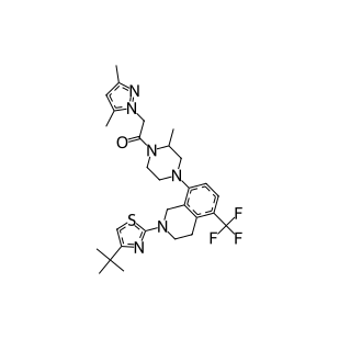 Cc1cc(C)n(CC(=O)N2CCN(c3ccc(C(F)(F)F)c4c3CN(c3nc(C(C)(C)C)cs3)CC4)CC2C)n1